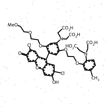 COCCOCCOc1cc(N(CC(=O)O)CC(=O)O)c(OCCOc2cc(C)ccc2N(CC(=O)O)CC(=O)O)cc1-c1c2cc(Cl)c(=O)cc-2oc2cc(O)c(Cl)cc12